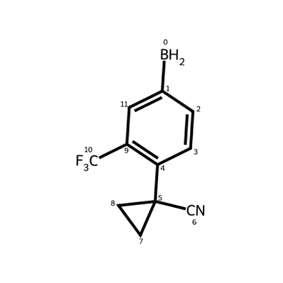 Bc1ccc(C2(C#N)CC2)c(C(F)(F)F)c1